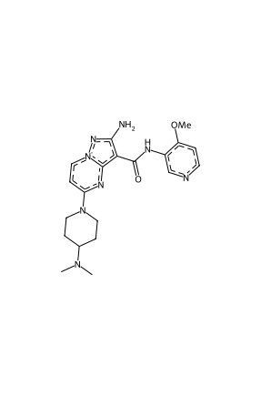 COc1ccncc1NC(=O)c1c(N)nn2ccc(N3CCC(N(C)C)CC3)nc12